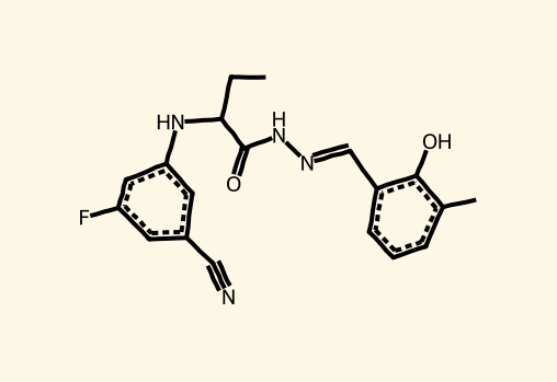 CCC(Nc1cc(F)cc(C#N)c1)C(=O)NN=Cc1cccc(C)c1O